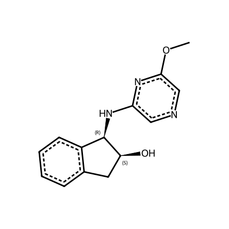 COc1cncc(N[C@@H]2c3ccccc3C[C@@H]2O)n1